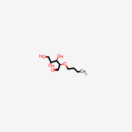 CCCCO[C@@H](C=O)[C@H](O)[C@H](O)CO